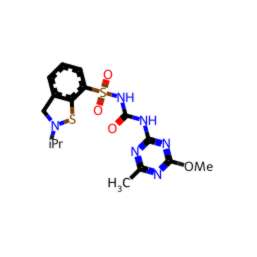 COc1nc(C)nc(NC(=O)NS(=O)(=O)c2cccc3c2SN(C(C)C)C3)n1